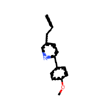 C=CCc1ccc(-c2ccc(OC)cc2)nc1